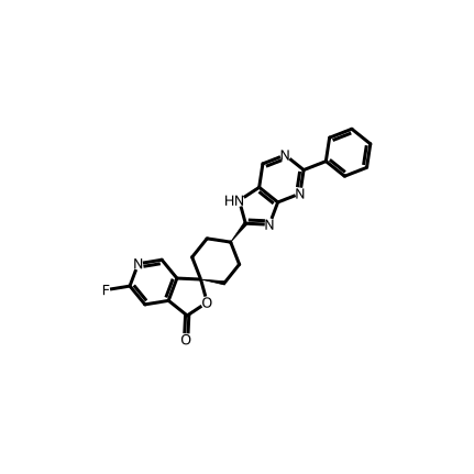 O=C1O[C@]2(CC[C@H](c3nc4nc(-c5ccccc5)ncc4[nH]3)CC2)c2cnc(F)cc21